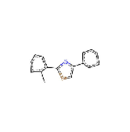 Cc1ccccc1-c1nc(-c2ccccc2)cs1